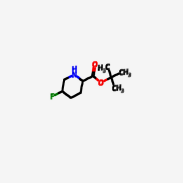 CC(C)(C)OC(=O)C1CCC(F)CN1